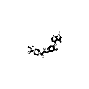 Cc1c[nH]c2nccc(Oc3ccc(C[C@H](N)C(=O)N4CCN(C(=O)N(C)C)CC4)cc3F)c12